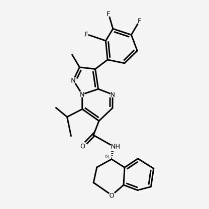 Cc1nn2c(C(C)C)c(C(=O)N[C@H]3CCOc4ccccc43)cnc2c1-c1ccc(F)c(F)c1F